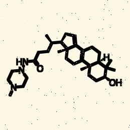 C[C@H](CCC(=O)NN1CCN(C)CC1)[C@H]1CC=C2C3=C(CC[C@@]21C)[C@@]1(C)CC[C@H](O)C(C)(C)[C@@H]1CC3